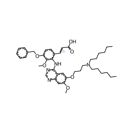 CCCCCCN(CCCCCC)CCCOc1cc2c(Nc3c(/C=C/C(=O)O)ccc(OCc4ccccc4)c3OC)ncnc2cc1OC